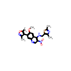 COc1cc2c(NCc3sc(C)nc3C)c([N+](=O)[O-])cnc2cc1-c1c(C)noc1C